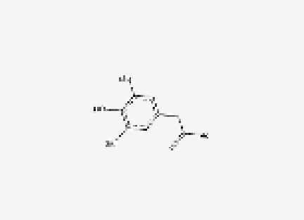 C=C(Cc1cc(C(C)(C)C)c(O)c(C(C)(C)C)c1)C(C)=O